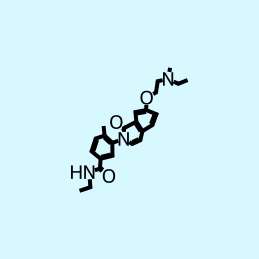 CCNC(=O)c1ccc(C)c(-n2ccc3ccc(OCCN(C)CC)cc3c2=O)c1